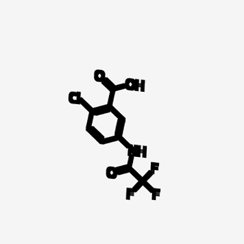 O=C(O)c1cc(NC(=O)C(F)(F)F)ccc1Cl